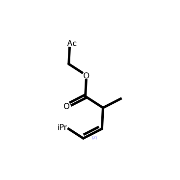 CC(=O)COC(=O)C(C)/C=C\C(C)C